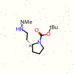 CNNCC[C@H]1CCCN1C(=O)OC(C)(C)C